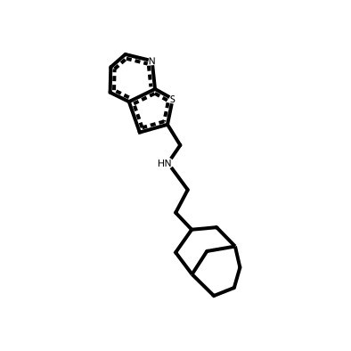 c1cnc2sc(CNCCC3CC4CCCC(C4)C3)cc2c1